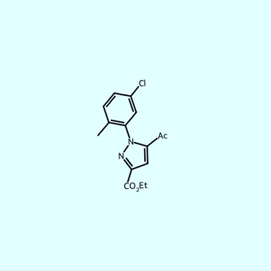 CCOC(=O)c1cc(C(C)=O)n(-c2cc(Cl)ccc2C)n1